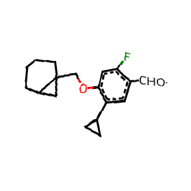 O=[C]c1cc(C2CC2)c(OCC23CCCCC2C3)cc1F